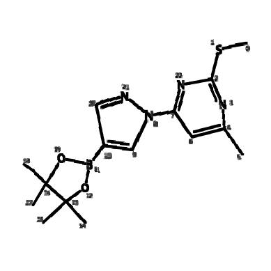 CSc1nc(C)cc(-n2cc(B3OC(C)(C)C(C)(C)O3)cn2)n1